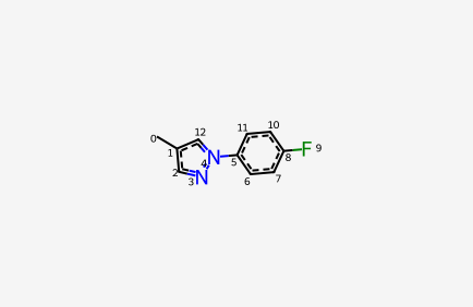 Cc1cnn(-c2ccc(F)cc2)c1